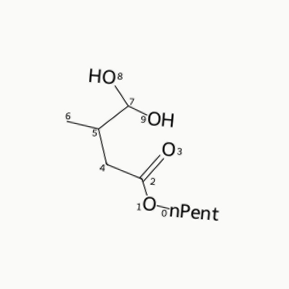 CCCCCOC(=O)CC(C)C(O)O